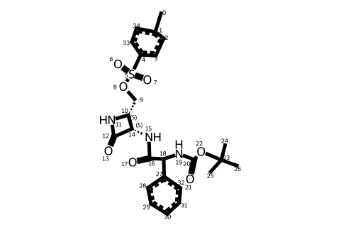 Cc1ccc(S(=O)(=O)OC[C@H]2NC(=O)[C@H]2NC(=O)C(NC(=O)OC(C)(C)C)c2ccccc2)cc1